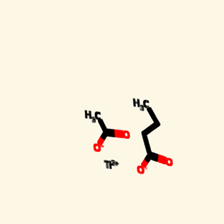 CC(=O)[O-].CCCC(=O)[O-].[Ti+2]